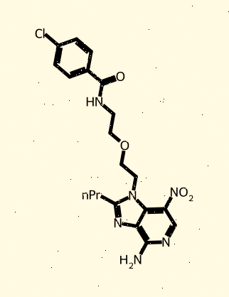 CCCc1nc2c(N)ncc([N+](=O)[O-])c2n1CCOCCNC(=O)c1ccc(Cl)cc1